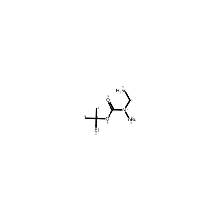 CCCCN(C[SiH3])C(=O)OC(C)(C)CC